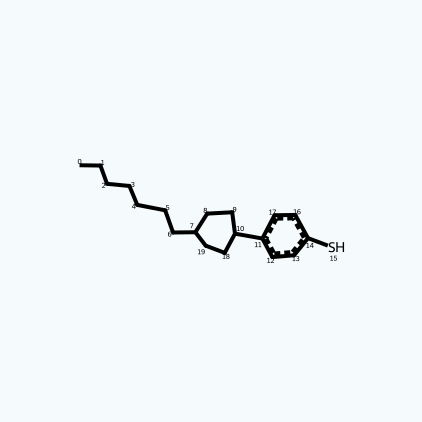 CCCCCCCC1CCC(c2ccc(S)cc2)CC1